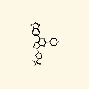 CS(=O)(=O)N1CCC(n2ncc3c(-c4ccc5[nH]cnc5c4)nc(N4CCOCC4)nc32)C1